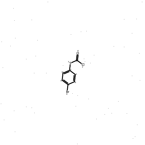 O=C(Cl)Sc1ccc(Br)cc1